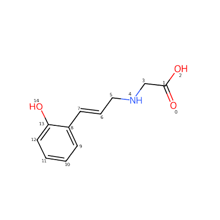 O=C(O)CNC/C=C/c1ccccc1O